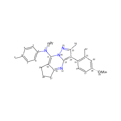 CCCN(c1ccc(C)cc1)c1c2c(nc3c(-c4ccc(OC)cc4C)c(C)nn13)CCC2